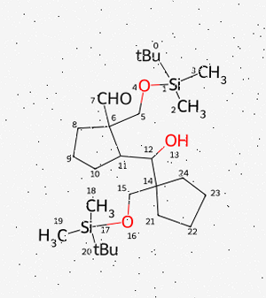 CC(C)(C)[Si](C)(C)OCC1(C=O)CCCC1C(O)C1(CO[Si](C)(C)C(C)(C)C)CCCC1